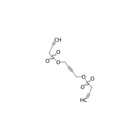 C#CCS(=O)(=O)OCC#CCOS(=O)(=O)CC#C